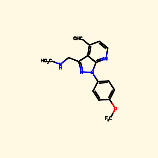 O=Cc1ccnc2c1c(CNC(=O)O)nn2-c1ccc(OC(F)(F)F)cc1